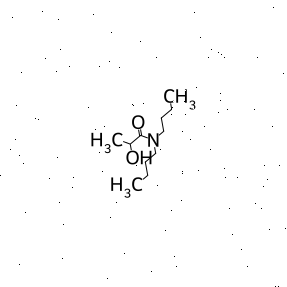 CCCCN(CCCC)C(=O)C(C)O